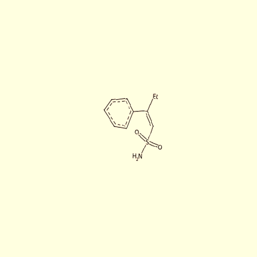 CC/C(=C/S(N)(=O)=O)c1ccccc1